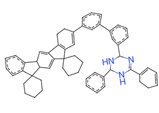 C1=CCCC(C2=NC(c3cccc(-c4cccc(C5=CC6=C(CC5)C5=CC7c8ccccc8C8(CCCCC8)C7C=C5C65CCCCC5)c4)c3)NC(c3ccccc3)N2)=C1